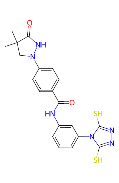 CC1(C)CN(c2ccc(C(=O)Nc3cccc(-n4c(S)nnc4S)c3)cc2)NC1=O